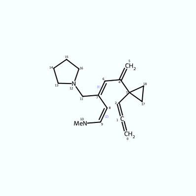 C=C=CC1(C(=C)/C=C(\C=C/NC)CN2CCCC2)CC1